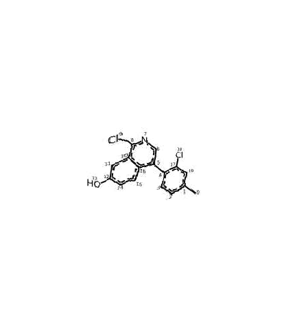 Cc1ccc(-c2cnc(Cl)c3cc(O)ccc23)c(Cl)c1